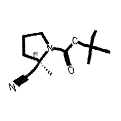 CC(C)(C)OC(=O)N1CCC[C@]1(C)C#N